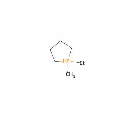 CC[PH]1(C)CCCC1